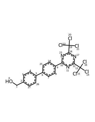 OCc1ccc(-c2ccc(-c3nc(C(Cl)(Cl)Cl)nc(C(Cl)(Cl)Cl)n3)cc2)cc1